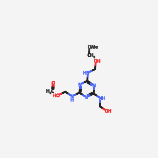 C=O.COC.OCNc1nc(NCO)nc(NCO)n1